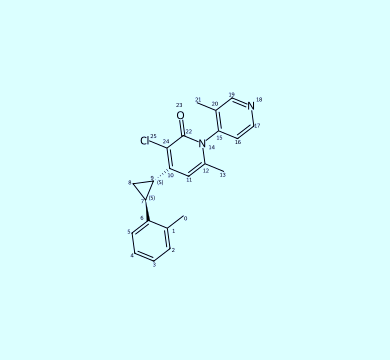 Cc1ccccc1[C@H]1C[C@@H]1c1cc(C)n(-c2ccncc2C)c(=O)c1Cl